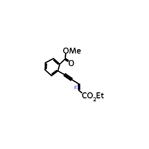 CCOC(=O)/C=C/C#Cc1ccccc1C(=O)OC